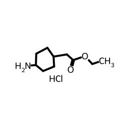 CCOC(=O)CC1CCC(N)CC1.Cl